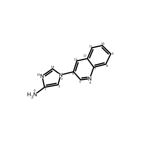 Nc1cn(-c2cnc3ccccc3c2)cn1